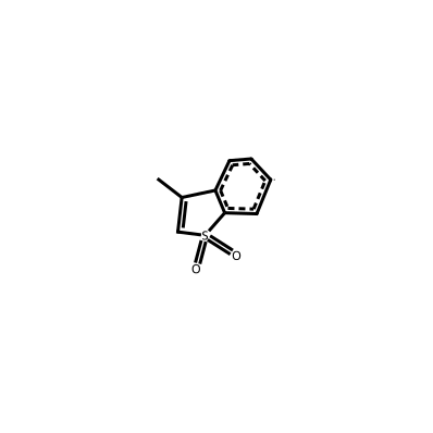 CC1=CS(=O)(=O)c2c[c]ccc21